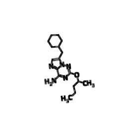 CCCC(C)Oc1nc(N)c2ncc(CC3CCCCC3)n2n1